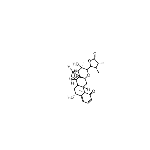 C[C@H]1C(=O)OC(C2O[C@]34C[C@H]5[C@@H](C[C@@H](O)C6=CC=CC(=O)[C@@]65C)[C@@H]5C[C@@H](O3)[C@@H]([C@@H]54)[C@@]2(C)O)[C@@H]1C